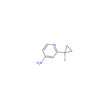 Nc1ccnc(C2(F)CC2)c1